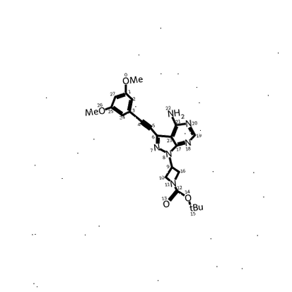 COc1cc(C#Cc2nn(C3CN(C(=O)OC(C)(C)C)C3)c3ncnc(N)c23)cc(OC)c1